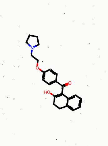 O=C(C1=C(O)CCc2ccccc21)c1ccc(OCCN2CCCC2)cc1